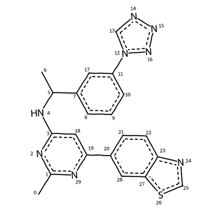 Cc1nc(NC(C)c2cccc(-n3cnnn3)c2)cc(-c2ccc3ncsc3c2)n1